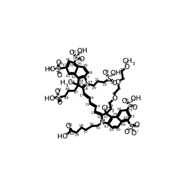 COCCOCCOCCC1(C)\C(=C/C=C/C=C/C2=[N+](CCCS(=O)(=O)O)c3ccc4c(S(=O)(=O)O)cc(S(=O)(=O)O)cc4c3C2(C)CCCS(=O)(=O)O)N(CCCCCC(=O)O)c2ccc3c(S(=O)(=O)[O-])cc(S(=O)(=O)O)cc3c21